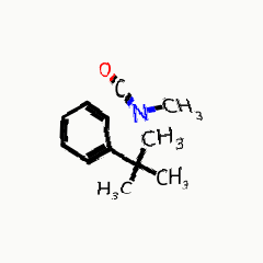 CC(C)(C)c1ccccc1.CN=C=O